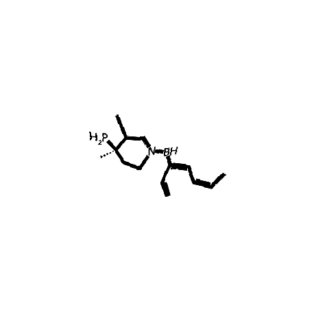 C=C/C(BN1CC[C@@](C)(P)C(C)C1)=C\C=C/C